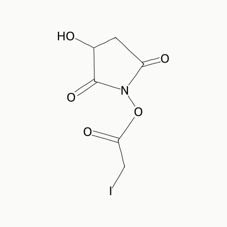 O=C(CI)ON1C(=O)CC(O)C1=O